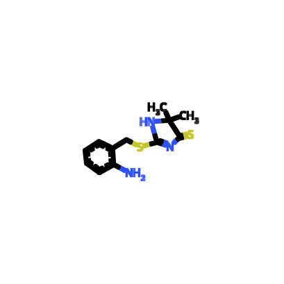 CC1(C)NC(SCc2ccccc2N)=NC1=S